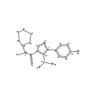 CN(C(=O)c1cnn(-c2ccc(Cl)cc2)c1C(F)F)C1CCCCC1